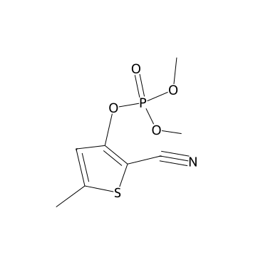 COP(=O)(OC)Oc1cc(C)sc1C#N